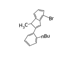 CCCCc1ccccc1C1=Cc2c(Br)cccc2C1C